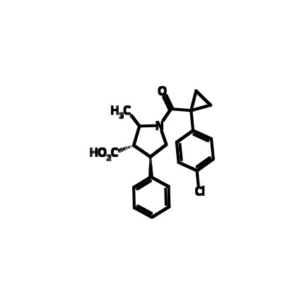 CC1[C@@H](C(=O)O)[C@H](c2ccccc2)CN1C(=O)C1(c2ccc(Cl)cc2)CC1